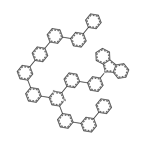 c1ccc(-c2cccc(-c3cccc(-c4ccc(-c5cccc(-c6cccc(-c7cc(-c8cccc(-c9cccc(-c%10ccccc%10)c9)c8)nc(-c8cccc(-c9cccc(-n%10c%11ccccc%11c%11ccccc%11%10)c9)c8)n7)c6)c5)cc4)c3)c2)cc1